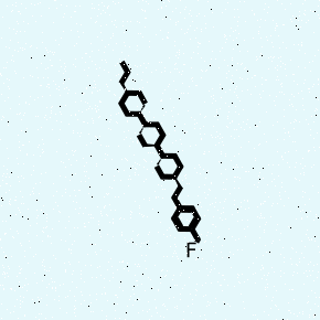 CCC[C@H]1CC[C@H]([C@H]2CC[C@H]([C@H]3CC[C@H](CCc4ccc(CF)cc4)CC3)CC2)CC1